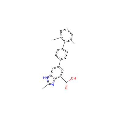 Cc1nc2c(C(=O)O)cc(-c3ccc(-c4c(C)cccc4C)cc3)cc2[nH]1